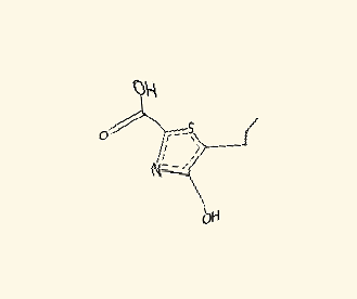 CCc1sc(C(=O)O)nc1O